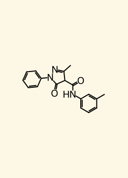 CC1=NN(c2ccccc2)C(=O)C1C(=O)Nc1cccc(C)c1